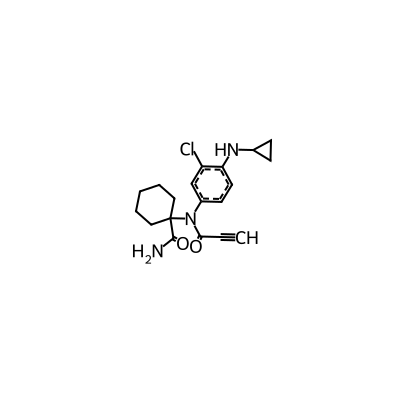 C#CC(=O)N(c1ccc(NC2CC2)c(Cl)c1)C1(C(N)=O)CCCCC1